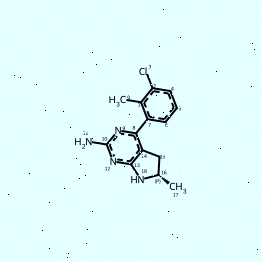 Cc1c(Cl)cccc1-c1nc(N)nc2c1C[C@@H](C)N2